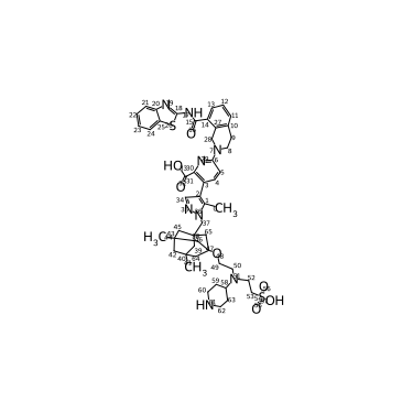 Cc1c(-c2ccc(N3CCc4cccc(C(=O)Nc5nc6ccccc6s5)c4C3)nc2C(=O)O)cnn1CC12CC3(C)CC(C)(C1)CC(OCCN(CCS(=O)(=O)O)C1CCNCC1)(C3)C2